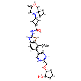 COc1c(-c2cnc(CO[C@H]3CCC[C@@H]3O)nc2)ccc2nc(NC(=O)C3CC(N4CC(C)OCC45CCC5)C3)sc12